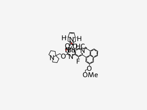 C#Cc1cccc2cc(OCOC)cc(-c3ncc4c(N5C[C@H]6C=C[C@@H](C5)N6C(=O)OC(C)(C)C)nc(OCC56CCCN5CCC6)nc4c3F)c12